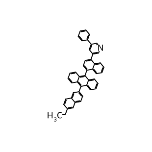 CCc1ccc2cc(-c3c4ccccc4c(-c4ccc(-c5cncc(-c6ccccc6)c5)c5ccccc45)c4ccccc34)ccc2c1